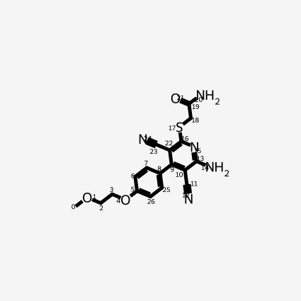 COCCOc1ccc(-c2c(C#N)c(N)nc(SCC(N)=O)c2C#N)cc1